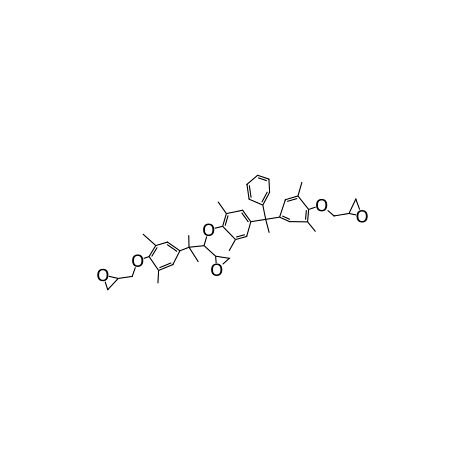 Cc1cc(C(C)(c2ccccc2)c2cc(C)c(OC(C3CO3)C(C)(C)c3cc(C)c(OCC4CO4)c(C)c3)c(C)c2)cc(C)c1OCC1CO1